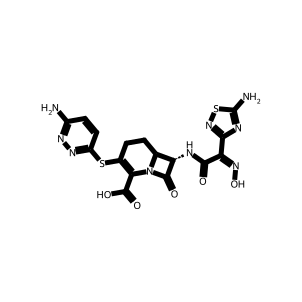 Nc1ccc(SC2=C(C(=O)O)N3C(=O)[C@@H](NC(=O)/C(=N\O)c4nsc(N)n4)C3CC2)nn1